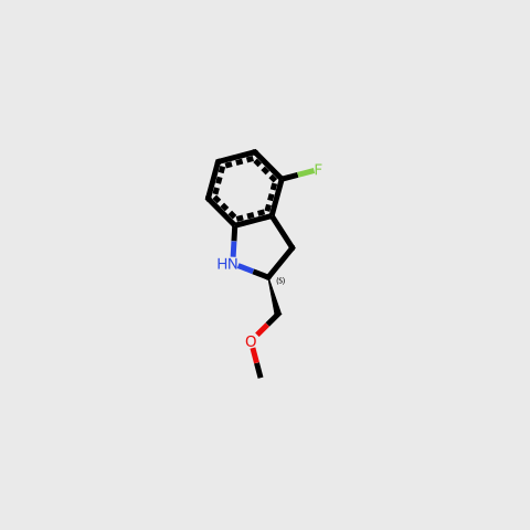 COC[C@@H]1Cc2c(F)cccc2N1